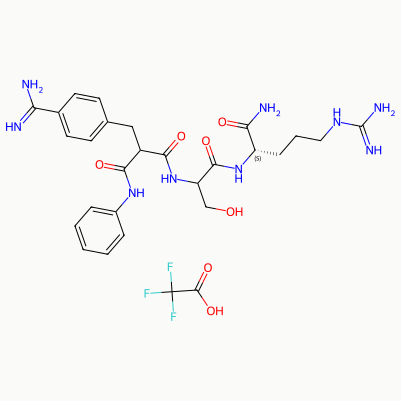 N=C(N)NCCC[C@H](NC(=O)C(CO)NC(=O)C(Cc1ccc(C(=N)N)cc1)C(=O)Nc1ccccc1)C(N)=O.O=C(O)C(F)(F)F